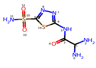 NC(N)C(=O)Nc1nnc(S(N)(=O)=O)s1